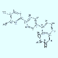 Fc1ccc(-c2ccc(-c3cccc4c3OSNC4)cc2)cc1F